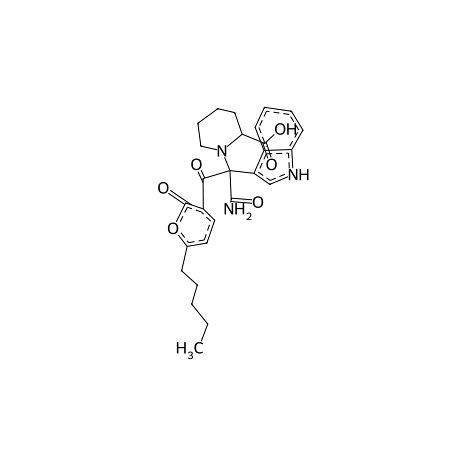 CCCCCc1ccc(C(=O)C(C(N)=O)(c2c[nH]c3ccccc23)N2CCCCC2C(=O)O)c(=O)o1